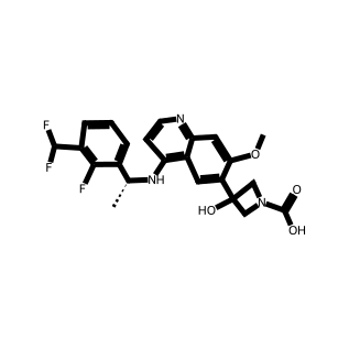 COc1cc2nccc(N[C@H](C)c3cccc(C(F)F)c3F)c2cc1C1(O)CN(C(=O)O)C1